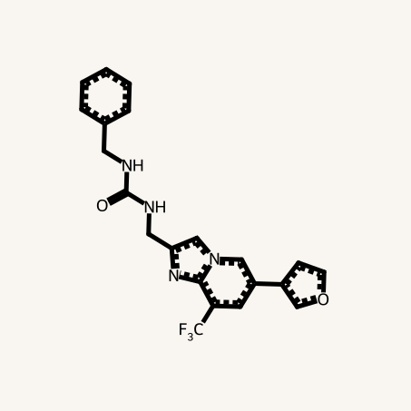 O=C(NCc1ccccc1)NCc1cn2cc(-c3ccoc3)cc(C(F)(F)F)c2n1